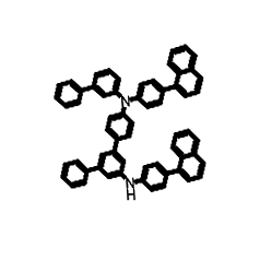 c1ccc(-c2cc(Nc3ccc(-c4cccc5ccccc45)cc3)cc(-c3ccc(N(c4ccc(-c5cccc6ccccc56)cc4)c4cccc(-c5ccccc5)c4)cc3)c2)cc1